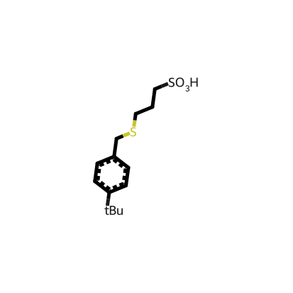 CC(C)(C)c1ccc(CSCCCS(=O)(=O)O)cc1